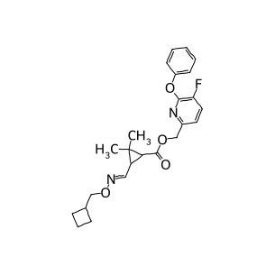 CC1(C)C(/C=N/OCC2CCC2)C1C(=O)OCc1ccc(F)c(Oc2ccccc2)n1